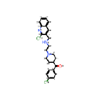 O=C(c1ccc(Cl)cc1)C1CCN(CCNCc2cc3ccccc3nc2Cl)CC1